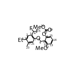 CCc1cc(C(F)F)c(OCc2c(OC)cccc2OC(=O)OC)cc1C